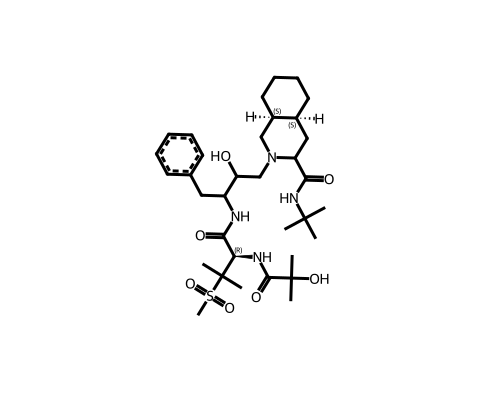 CC(C)(C)NC(=O)C1C[C@@H]2CCCC[C@@H]2CN1CC(O)C(Cc1ccccc1)NC(=O)[C@@H](NC(=O)C(C)(C)O)C(C)(C)S(C)(=O)=O